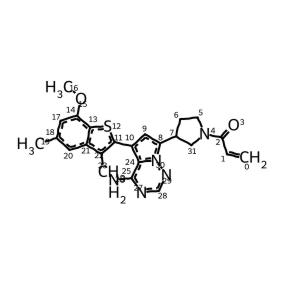 C=CC(=O)N1CCC(c2cc(-c3sc4c(OC)cc(C)cc4c3C)c3c(N)ncnn23)C1